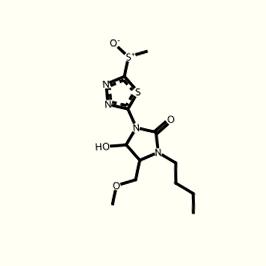 CCCCN1C(=O)N(c2nnc([S+](C)[O-])s2)C(O)C1COC